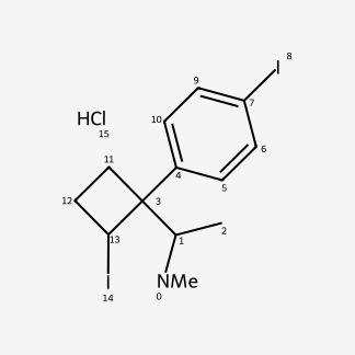 CNC(C)C1(c2ccc(I)cc2)CCC1I.Cl